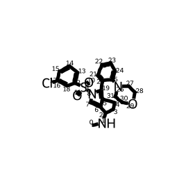 CNC1CCc2c1cn(S(=O)(=O)c1cccc(Cl)c1)c2-c1ccccc1N1CCOCC1